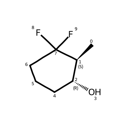 C[C@H]1[C@H](O)CCCC1(F)F